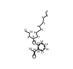 CCCCCCCCC(CCC)Oc1ccccc1C(C)=O